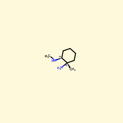 CN[C@H]1CCCC[C@]1(C)N